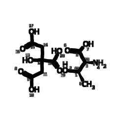 C[C@@H](O)[C@H](N)C(=O)O.O=C(O)CC(O)(CC(=O)O)C(=O)O